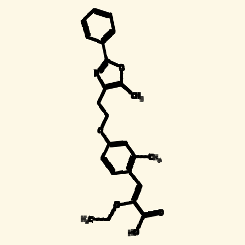 CCOC(=Cc1ccc(OCCc2nc(-c3ccccc3)oc2C)cc1C)C(=O)O